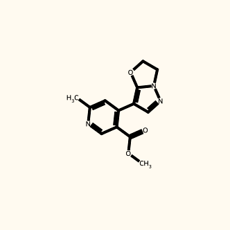 COC(=O)c1cnc(C)cc1-c1cnn2c1OCC2